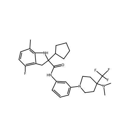 Cc1ccc(F)c2c1NC(C(=O)Nc1cccc(N3CCC(N(C)C)(C(F)(F)F)CC3)c1)(C1CCCC1)C2